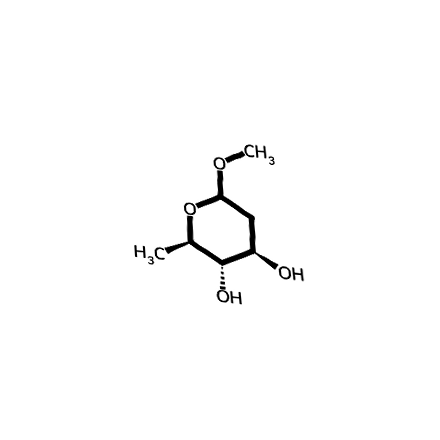 COC1C[C@@H](O)[C@H](O)[C@@H](C)O1